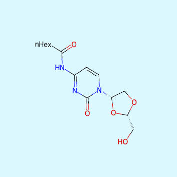 CCCCCCC(=O)Nc1ccn([C@@H]2CO[C@H](CO)O2)c(=O)n1